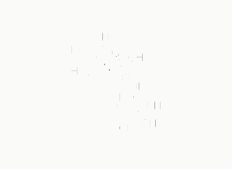 CC(OC(O)CN(C(C)(C)C)S(C)(=O)=O)C(C)(C)C